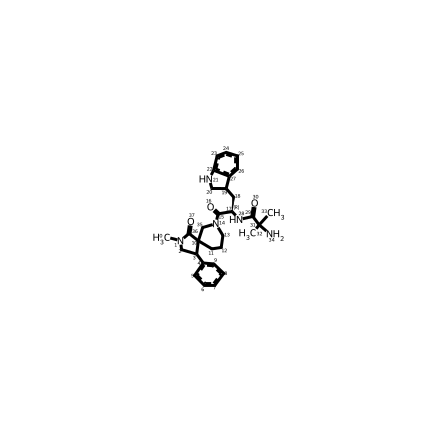 CN1CC(c2ccccc2)C2(CCCN(C(=O)[C@@H](CC3CNc4ccccc43)NC(=O)C(C)(C)N)C2)C1=O